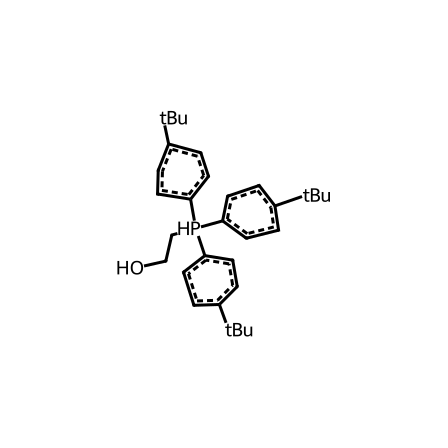 CC(C)(C)c1ccc([PH](CCO)(c2ccc(C(C)(C)C)cc2)c2ccc(C(C)(C)C)cc2)cc1